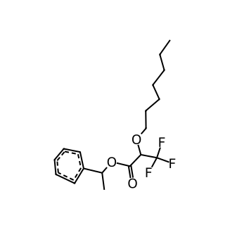 CCCCCCCOC(C(=O)OC(C)c1ccccc1)C(F)(F)F